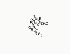 C=C1CN(c2noc3c(F)c(F)c(C=O)cc23)C(=O)S1